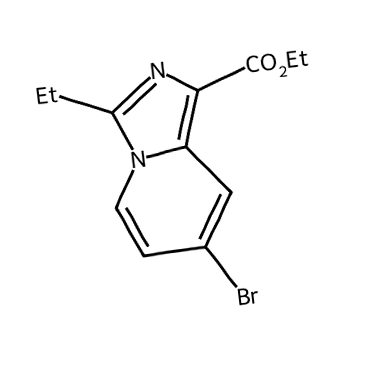 CCOC(=O)c1nc(CC)n2ccc(Br)cc12